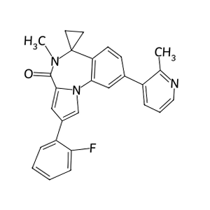 Cc1ncccc1-c1ccc2c(c1)-n1cc(-c3ccccc3F)cc1C(=O)N(C)C21CC1